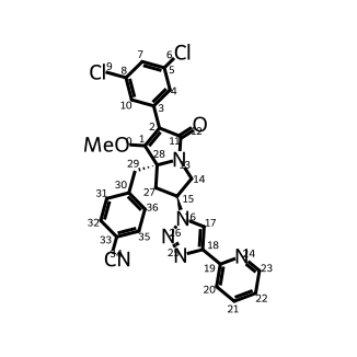 COC1=C(c2cc(Cl)cc(Cl)c2)C(=O)N2C[C@@H](n3cc(-c4ccccn4)nn3)C[C@@]12Cc1ccc(C#N)cc1